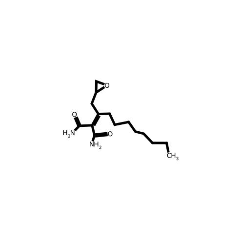 CCCCCCCCC(CC1CO1)=C(C(N)=O)C(N)=O